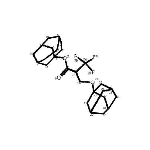 O=C(OC12CC3CC(CC(C3)C1)C2)C(COC12CC3CC(CC(C3)C1)C2)C(F)(F)F